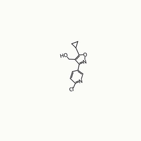 OCc1c(-c2ccc(Cl)nc2)noc1C1CC1